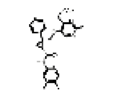 COCc1nc(C)ncc1OC[C@@]1(c2ccccc2)C[C@H]1C(=O)Nc1cc(C)c(F)cn1